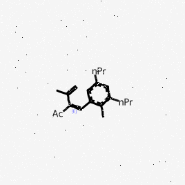 C=C(C)/C(=C\c1cc(CCC)cc(CCC)c1C)C(C)=O